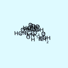 N[C@@H](CCC(=O)N[C@@H](CS)C(=O)NCC(=O)O)C(=O)O.O=P(O)(O)OP(=O)(O)O